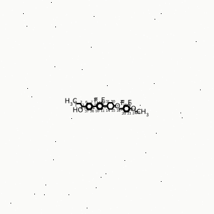 CCCC(O)c1ccc(-c2ccc(C3CCC(OCc4ccc(OCC)c(F)c4F)CC3)c(F)c2F)cc1